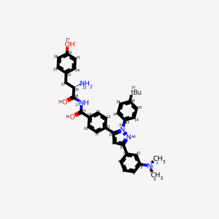 CN(C)c1cccc(-c2cc(-c3ccc(C(=O)NC(=O)[C@@H](N)Cc4ccc(O)cc4)cc3)n(-c3ccc(C(C)(C)C)cc3)n2)c1